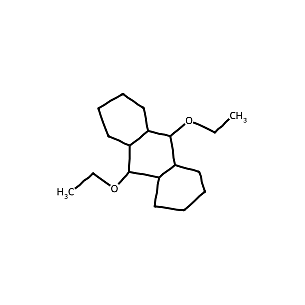 CCOC1C2CCCCC2C(OCC)C2CCCCC21